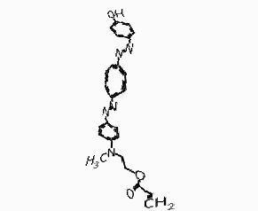 C=CC(=O)OCCN(C)c1ccc(N=Nc2ccc(N=Nc3ccc(O)cc3)cc2)cc1